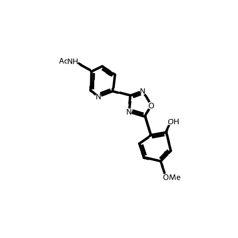 COc1ccc(-c2nc(-c3ccc(NC(C)=O)cn3)no2)c(O)c1